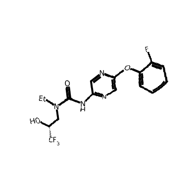 CCN(C[C@@H](O)C(F)(F)F)C(=O)Nc1cnc(Oc2ccccc2F)cn1